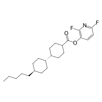 CCCCC[C@H]1CC[C@H](C2CCC(C(=O)Oc3ccc(F)nc3F)CC2)CC1